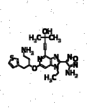 CCn1c(-c2nonc2N)nc2c(C#CC(C)(C)O)nc(OC(CCN)Cc3ccsc3)cc21